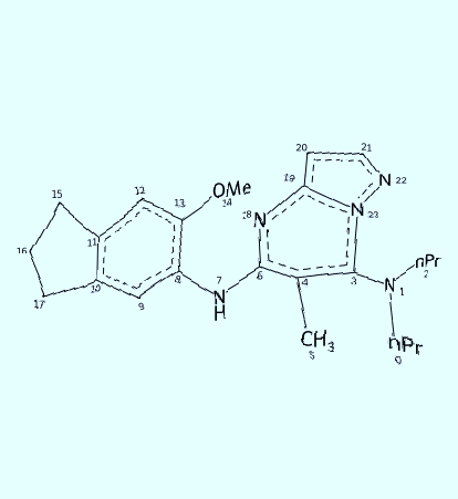 CCCN(CCC)c1c(C)c(Nc2cc3c(cc2OC)CCC3)nc2ccnn12